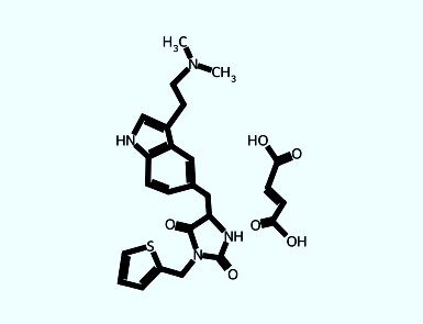 CN(C)CCc1c[nH]c2ccc(CC3NC(=O)N(Cc4cccs4)C3=O)cc12.O=C(O)C=CC(=O)O